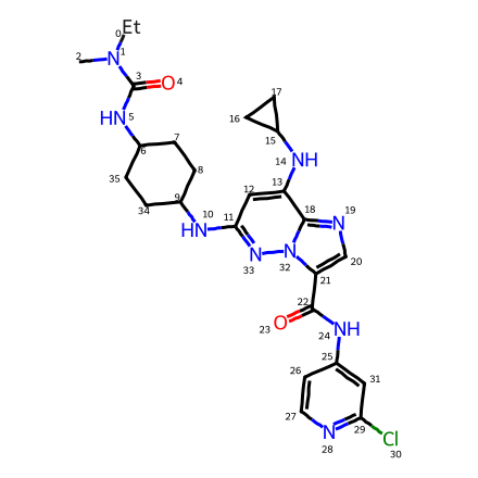 CCN(C)C(=O)NC1CCC(Nc2cc(NC3CC3)c3ncc(C(=O)Nc4ccnc(Cl)c4)n3n2)CC1